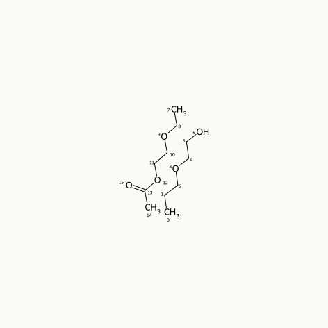 CCCOCCO.CCOCCOC(C)=O